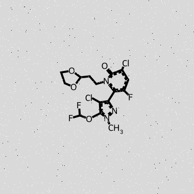 Cn1nc(-c2c(F)cc(Cl)c(=O)n2CCC2OCCO2)c(Cl)c1OC(F)F